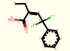 CCC(=CC(F)(F)c1ccccc1)C(=O)O